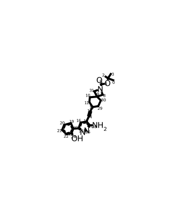 CC(C)(C)OC(=O)N1CC2(CCC(C#Cc3cc(-c4ccccc4O)nnc3N)CC2)C1